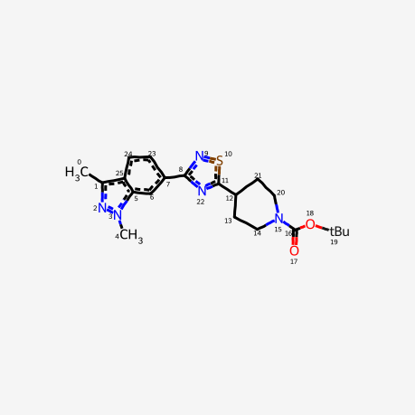 Cc1nn(C)c2cc(-c3nsc(C4CCN(C(=O)OC(C)(C)C)CC4)n3)ccc12